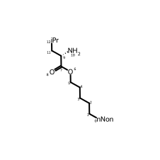 CCCCCCCCCCCCCCOC(=O)[C@@H](N)CC(C)C